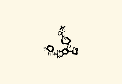 CC(C)(C)OC(=O)N1CCC(Oc2cc3nc(Nc4cccc(F)c4)ncc3cc2-c2ccccn2)CC1